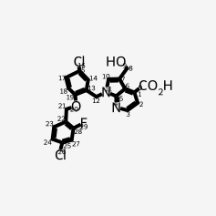 O=C(O)c1ccnc2c1c(CO)cn2Cc1cc(Cl)ccc1OCc1ccc(Cl)cc1F